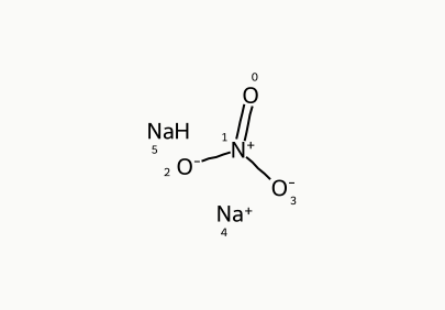 O=[N+]([O-])[O-].[Na+].[NaH]